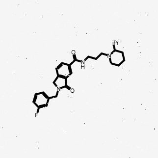 CC(C)C1CCCCN1CCCNC(=O)c1ccc2c(c1)C(=O)N(Cc1cccc(F)c1)C2